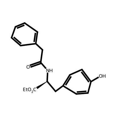 CCOC(=O)[C@H](Cc1ccc(O)cc1)NC(=O)Cc1ccccc1